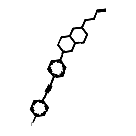 C=CCCC1CCC2CC(c3ccc(C#Cc4ccc(F)cc4)cc3)CCC2C1